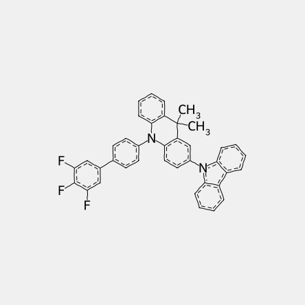 CC1(C)c2ccccc2N(c2ccc(-c3cc(F)c(F)c(F)c3)cc2)c2ccc(-n3c4ccccc4c4ccccc43)cc21